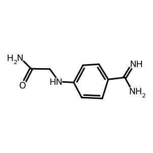 N=C(N)c1ccc(NCC(N)=O)cc1